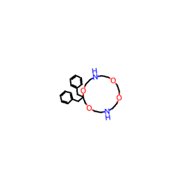 c1ccc(CC2(Cc3ccccc3)COCCNCCOCCOCCNCCO2)cc1